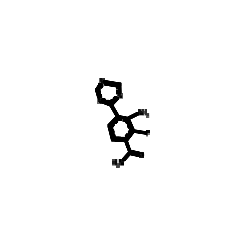 NC(=O)c1ccc(-c2ncncn2)c(N)c1F